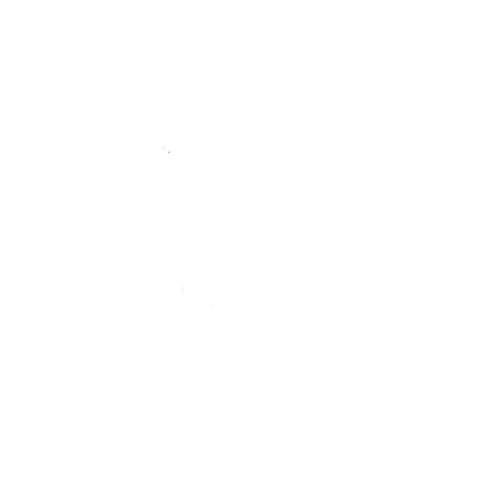 N#Cc1cc(Br)cc(C2CC2(Cl)Cl)c1